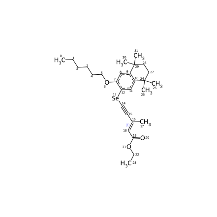 CCCCCCOc1cc2c(cc1[Se]C#C/C(C)=C/C(=O)OCC)C(C)(C)CCC2(C)C